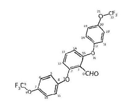 O=Cc1c(Oc2ccc(OC(F)(F)F)cc2)cccc1Oc1ccc(OC(F)(F)F)cc1